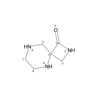 O=C1NCC12CNCCN2